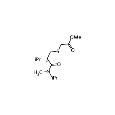 COC(=O)CSC[C@H](C(=O)N(C)C(C)C)C(C)C